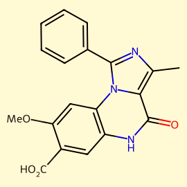 COc1cc2c(cc1C(=O)O)[nH]c(=O)c1c(C)nc(-c3ccccc3)n12